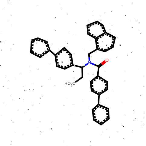 O=C(O)CC(c1ccc(-c2ccccc2)cc1)N(Cc1cccc2ccccc12)C(=O)c1ccc(-c2ccccc2)cc1